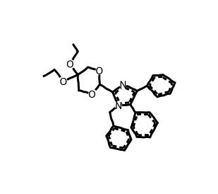 CCOC1(OCC)COC(c2nc(-c3ccccc3)c(-c3ccccc3)n2Cc2ccccc2)OC1